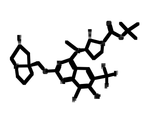 C[C@H]1[C@H](N(C)c2nc(OC[C@@]34CCCN3C[C@H](F)C4)nc3c(F)c(Br)c(C(F)(F)F)cc23)CCN1C(=O)OC(C)(C)C